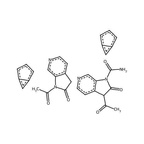 CC(=O)C1C(=O)N(C(N)=O)c2cnccc21.CC(=O)N1C(=O)Cc2ccncc21.c1cc2cc-2c1.c1cc2cc-2c1